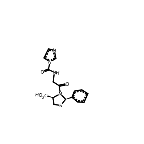 O=C(O)[C@@H]1CS[C@H](c2ccccc2)N1C(=O)CNC(=O)n1ccnc1